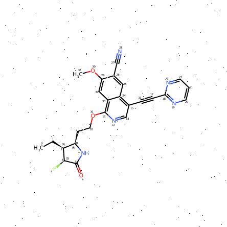 CC[C@@H]1[C@H](F)C(=O)N[C@@H]1CCOc1ncc(C#Cc2ncccn2)c2cc(C#N)c(OC)cc12